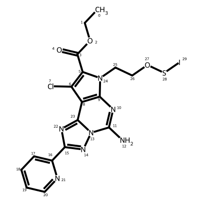 CCOC(=O)c1c(Cl)c2c(nc(N)n3nc(-c4ccccn4)nc23)n1CCOSI